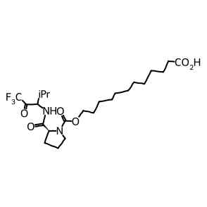 CC(C)C(NC(=O)[C@@H]1CCCN1C(=O)OCCCCCCCCCCCC(=O)O)C(=O)C(F)(F)F